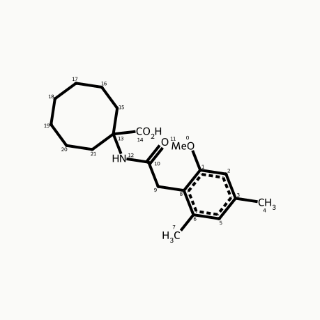 COc1cc(C)cc(C)c1CC(=O)NC1(C(=O)O)CCCCCCC1